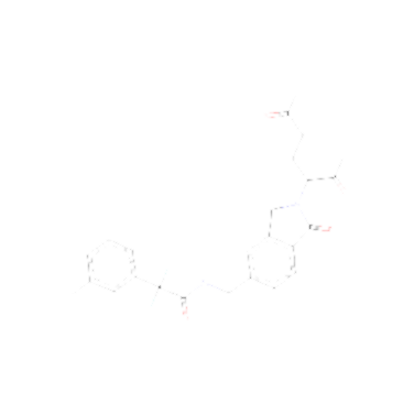 CC(=O)CCC(C(C)=O)N1Cc2cc(CNC(=O)C(F)(F)c3cccc(C)c3)ccc2C1=O